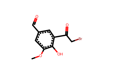 COc1cc(C=O)cc(C(=O)CBr)c1O